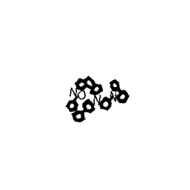 c1ccc(-c2ccc(N(c3cccc(-n4c5ccccc5c5ccccc54)c3)c3ccc4ccc5ccc6nc(-c7ccccc7)oc6c5c4c3)cc2)cc1